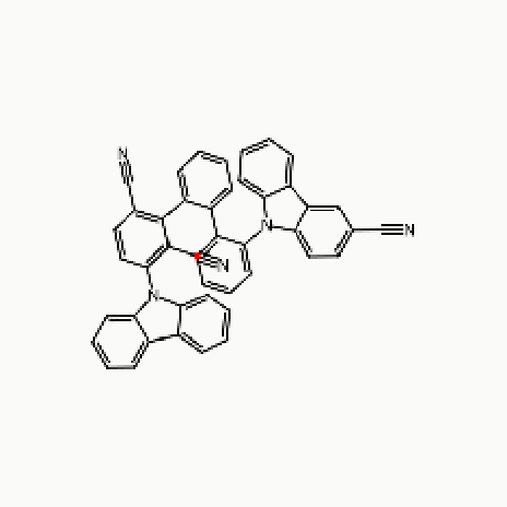 N#Cc1ccc2c(c1)c1ccccc1n2-c1ccccc1-c1ccccc1-c1c(C#N)ccc(-n2c3ccccc3c3ccccc32)c1C#N